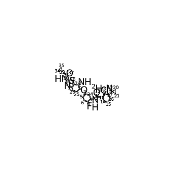 Nc1c(Oc2ccc(F)c(NC(=O)c3cccc(C4(N)CC4)c3Cl)c2)ccc2nc(NC(=O)C3CC3)sc12